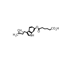 CN(C)CCc1c[nH]c2cc(OC(=O)CCCCC(=O)O)ccc12